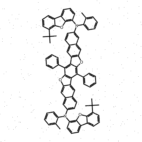 Cc1ccccc1N(c1ccc2cc3c(cc2c1)oc1c(-c2ccccc2)c2c(oc4cc5cc(N(c6ccccc6C)c6cccc7c6oc6c(C(C)(C)C)cccc67)ccc5cc42)c(-c2ccccc2)c13)c1cccc2c1oc1c(C(C)(C)C)cccc12